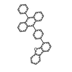 c1ccc(-c2c3ccccc3c(-c3ccc(-c4cccc5c4oc4ccccc45)cc3)c3ccccc23)cc1